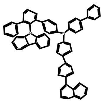 c1ccc(-c2ccc(N(c3ccc(-c4ccc(-c5cccc6ccccc56)cc4)cc3)c3ccc(-c4cccc(-c5ccccc5)c4-n4c5ccccc5c5ccccc54)cc3)cc2)cc1